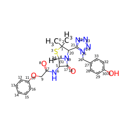 CC1(C)S[C@H]2C(NC(=O)COc3ccccc3)C(=O)N2C1c1nnnn1Cc1ccc(O)cc1